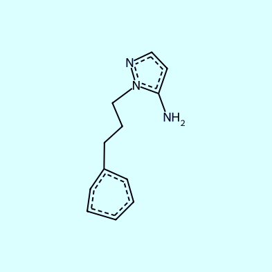 Nc1ccnn1CCCc1ccccc1